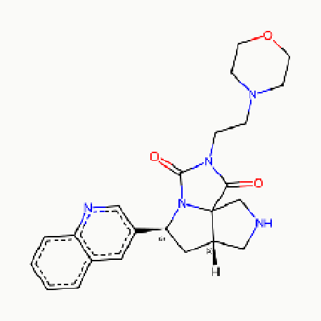 O=C1N(CCN2CCOCC2)C(=O)C23CNC[C@@H]2C[C@@H](c2cnc4ccccc4c2)N13